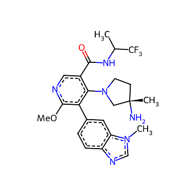 COc1ncc(C(=O)NC(C)C(F)(F)F)c(N2CC[C@](C)(N)C2)c1-c1ccc2ncn(C)c2c1